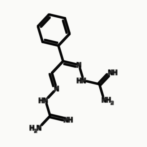 N=C(N)NN=CC(=NNC(=N)N)c1ccccc1